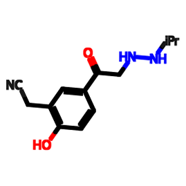 CC(C)NNCC(=O)c1ccc(O)c(CC#N)c1